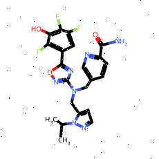 CC(C)n1nccc1CN(Cc1ccc(C(N)=O)nc1)c1noc(-c2cc(F)c(F)c(O)c2F)n1